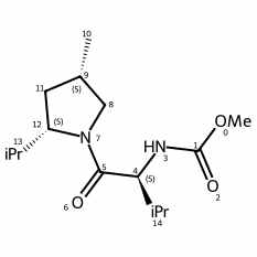 COC(=O)N[C@H](C(=O)N1C[C@@H](C)C[C@H]1C(C)C)C(C)C